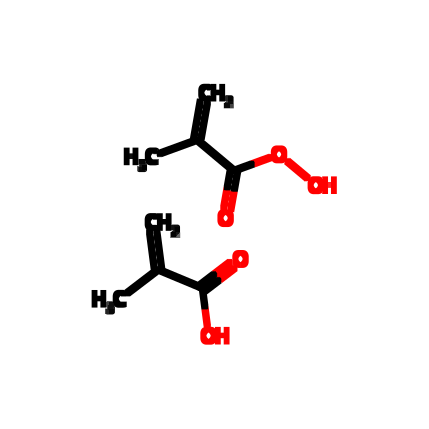 C=C(C)C(=O)O.C=C(C)C(=O)OO